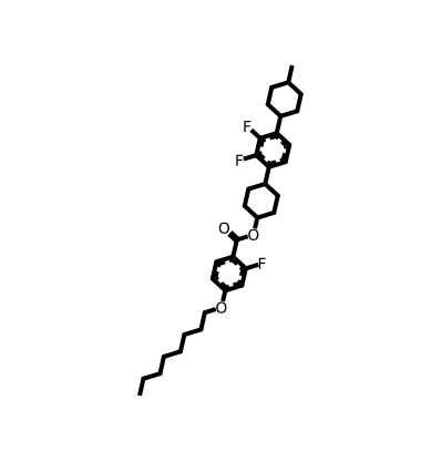 CCCCCCCCOc1ccc(C(=O)OC2CCC(c3ccc(C4CCC(C)CC4)c(F)c3F)CC2)c(F)c1